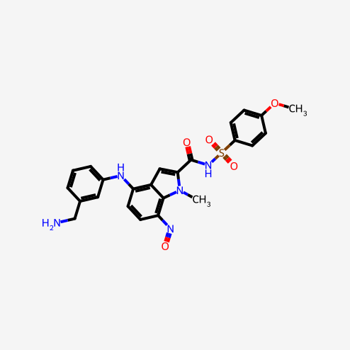 COc1ccc(S(=O)(=O)NC(=O)c2cc3c(Nc4cccc(CN)c4)ccc(N=O)c3n2C)cc1